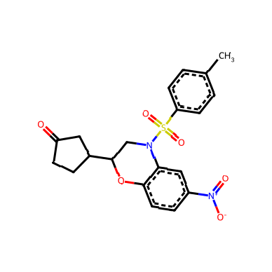 Cc1ccc(S(=O)(=O)N2CC(C3CCC(=O)C3)Oc3ccc([N+](=O)[O-])cc32)cc1